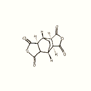 O=C1OC(=O)[C@@H]2C1[C@@H]1CC[C@H]2[C@H]2C(=O)OC(=O)[C@H]21